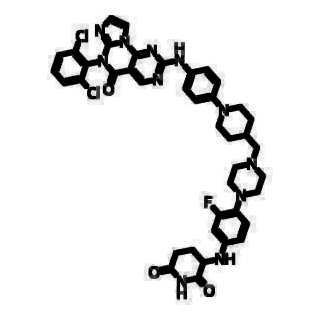 O=C1CCC(Nc2ccc(N3CCN(CC4CCN(c5ccc(Nc6ncc7c(=O)n(-c8c(Cl)cccc8Cl)c8nccn8c7n6)cc5)CC4)CC3)c(F)c2)C(=O)N1